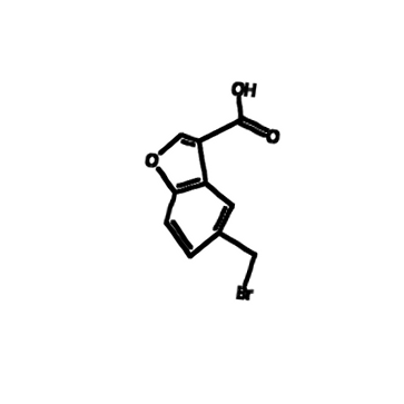 O=C(O)c1coc2ccc(CBr)cc12